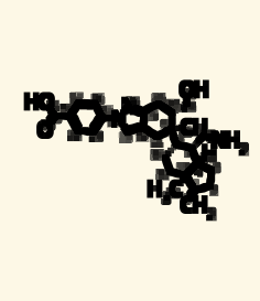 C=C1CC[C@H]2[C@H](CN)[C@@H]([C@@]3(C)Cc4cn(-c5ccc(C(=O)O)cc5)nc4C[C@@H]3CO)CC[C@]12C